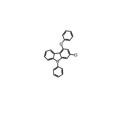 Clc1cc(Oc2ccccc2)c2c3ccccc3n(-c3ccccc3)c2c1